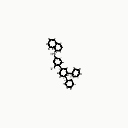 Brc1cc(Nc2cccc3ccccc23)ccc1-c1ccc(-c2ccccc2)c(-c2ccccc2)c1